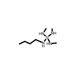 CCCCN[Si](NC)(NC)NC